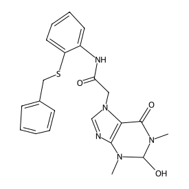 CN1C(=O)c2c(ncn2CC(=O)Nc2ccccc2SCc2ccccc2)N(C)C1O